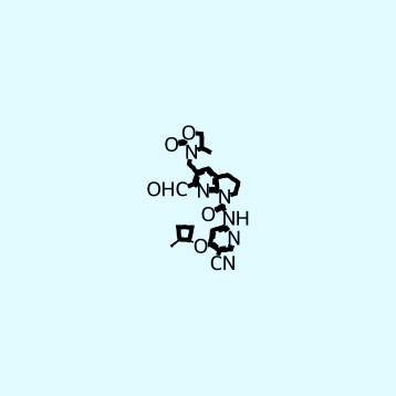 CC1COC(=O)N1Cc1cc2c(nc1C=O)N(C(=O)Nc1cc(O[C@H]3CC[C@@H]3C)c(C#N)cn1)CCC2